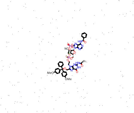 COc1ccc(C(OCc2nc3c(=O)[nH]c(NC(=O)C(C)C)nc3n2CCOP(=S)(OCCC#N)OC[C@H]2O[C@@H](n3cnc4c(NC(=O)c5ccccc5)ncnc43)[C@H](O[PH](=O)O)[C@@H]2F)(c2ccccc2)c2ccc(OC)cc2)cc1